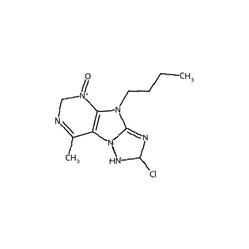 CCCCN1C2=NC(Cl)NN2C2=C1[N+](=O)CN=C2C